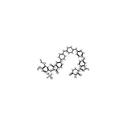 CCOc1cc([C@@H](CS(C)(=O)=O)N2C(=O)c3ccc(C4CCN(CC5CCN(Cc6ccc(Oc7ccc8c(C9CCC(=O)NC9=O)nn(C)c8c7)cc6)CC5)CC4)cc3C2=O)ccc1OC